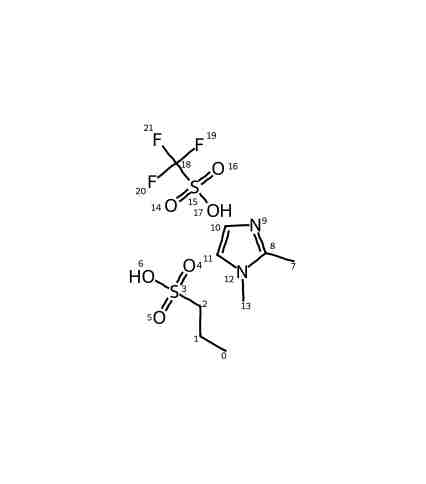 CCCS(=O)(=O)O.Cc1nccn1C.O=S(=O)(O)C(F)(F)F